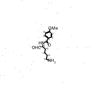 COc1ccc(C(=O)N[C@H](C=O)CCCCN)cc1